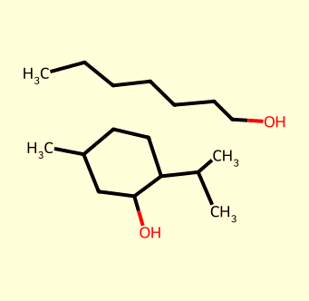 CC1CCC(C(C)C)C(O)C1.CCCCCCCO